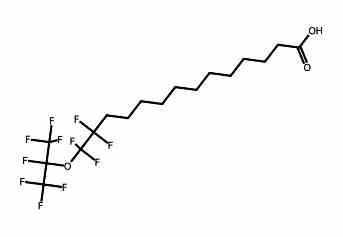 O=C(O)CCCCCCCCCCCC(F)(F)C(F)(F)OC(F)(C(F)(F)F)C(F)(F)F